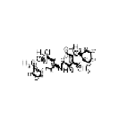 C=N/C(Cl)=C\C(CC[C@@H]1CCCN1C)=N/CC(=N)/C(CCC)=C(\C)[C@H]1CCCCC1=C